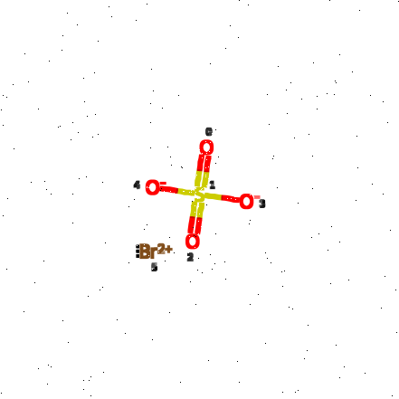 O=S(=O)([O-])[O-].[Br+2]